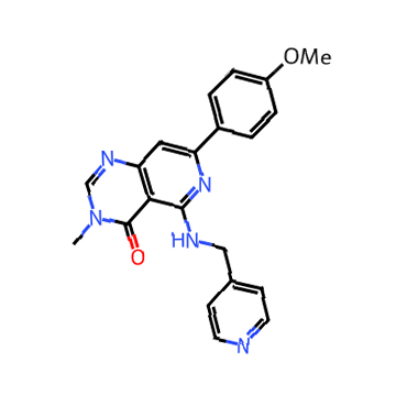 COc1ccc(-c2cc3ncn(C)c(=O)c3c(NCc3ccncc3)n2)cc1